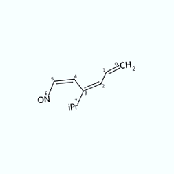 C=C/C=C(\C=C/N=O)C(C)C